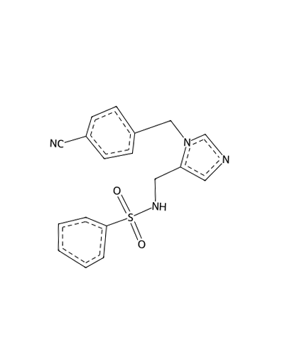 N#Cc1ccc(Cn2cncc2CNS(=O)(=O)c2ccccc2)cc1